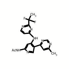 CC(=O)Nc1cc(Nc2ccnc(C(C)(F)F)n2)c(-c2cc(C)ncn2)cn1